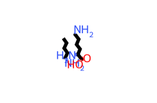 CCCCCN.NCCCCC(N)C(=O)O